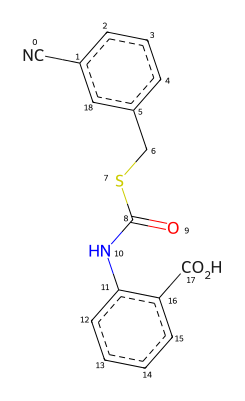 N#Cc1cccc(CSC(=O)Nc2ccccc2C(=O)O)c1